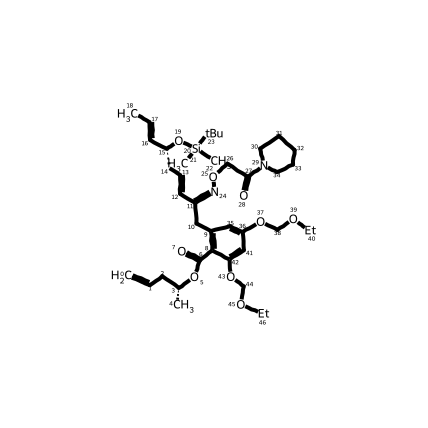 C=CC[C@@H](C)OC(=O)c1c(CC(/C=C/C[C@H](/C=C/C)O[Si](C)(C)C(C)(C)C)=NOCC(=O)N2CCCCC2)cc(OCOCC)cc1OCOCC